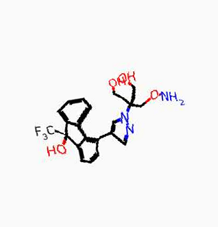 NOCC(CO)(CO)n1cc(-c2cccc3c2-c2ccccc2[C@]3(O)C(F)(F)F)cn1